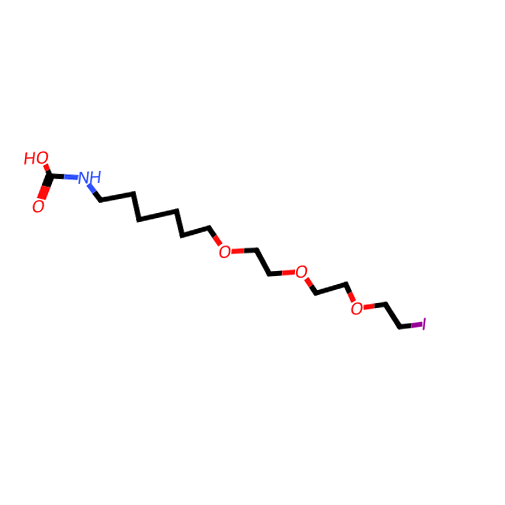 O=C(O)NCCCCCCOCCOCCOCCI